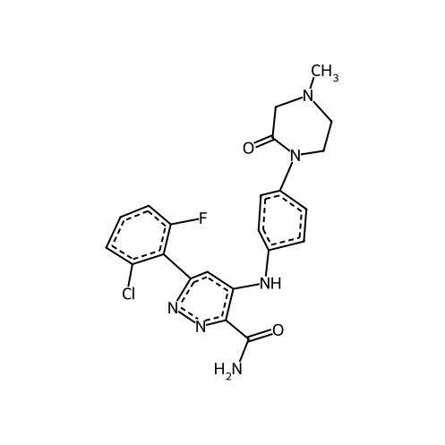 CN1CCN(c2ccc(Nc3cc(-c4c(F)cccc4Cl)nnc3C(N)=O)cc2)C(=O)C1